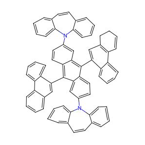 C1=Cc2c(cc(-c3c4cc(N5c6ccccc6C=Cc6ccccc65)ccc4c(-c4cc5ccccc5c5ccccc45)c4cc(N5c6ccccc6C=Cc6ccccc65)ccc34)c3ccccc23)CC1